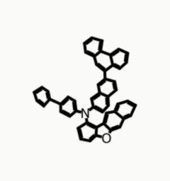 c1ccc(-c2ccc(N(c3ccc4ccc(-c5cc6ccccc6c6ccccc56)cc4c3)c3cccc4oc5cc6ccccc6cc5c34)cc2)cc1